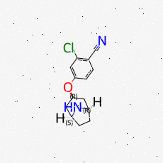 N#Cc1ccc(O[C@H]2C[C@H]3CC[C@@H](C2)N3)cc1Cl